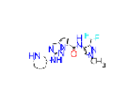 Cn1cc(NC(=O)c2ccc3cnc(N[C@H]4CCCCNC4)nn23)c(C(F)F)n1